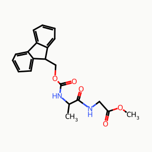 COC(=O)CNC(=O)C(C)NC(=O)OCC1c2ccccc2-c2ccccc21